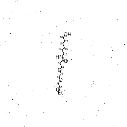 CCOCCOCCOCCC(=O)NCCCCCCO